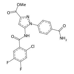 COC(=O)c1cc(NC(=O)c2cc(F)c(F)cc2Cl)n(-c2ccc(C(N)=O)cc2)n1